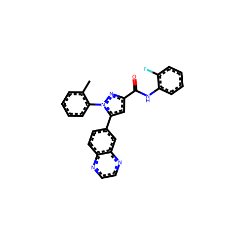 Cc1ccccc1-n1nc(C(=O)Nc2ccccc2F)cc1-c1ccc2nccnc2c1